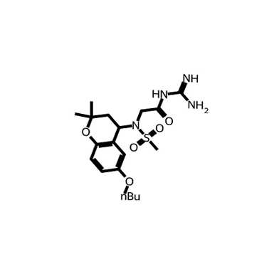 CCCCOc1ccc2c(c1)C(N(CC(=O)NC(=N)N)S(C)(=O)=O)CC(C)(C)O2